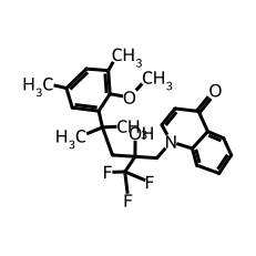 COc1c(C)cc(C)cc1C(C)(C)CC(O)(Cn1ccc(=O)c2ccccc21)C(F)(F)F